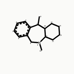 CC1c2ccccc2CN(C)C2CCCCC12